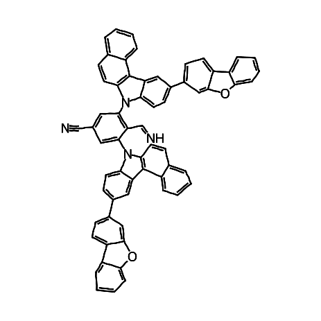 N#Cc1cc(-n2c3ccc(-c4ccc5c(c4)oc4ccccc45)cc3c3c4ccccc4ccc32)c(C=N)c(-n2c3ccc(-c4ccc5c(c4)oc4ccccc45)cc3c3c4ccccc4ccc32)c1